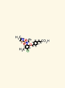 Cc1csc(S(=O)(=O)N(CC(C)C)c2cc(C)c(Cl)cc2OCc2ccc(C=CC(=O)O)cc2)n1